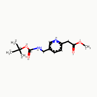 COC(=O)Cc1ccc(CNC(=O)OC(C)(C)C)cn1